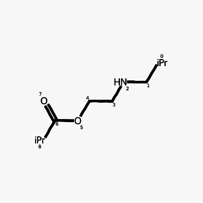 CC(C)CNCCOC(=O)C(C)C